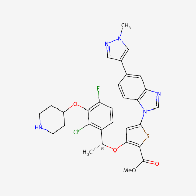 COC(=O)c1sc(-n2cnc3cc(-c4cnn(C)c4)ccc32)cc1O[C@H](C)c1ccc(F)c(OC2CCNCC2)c1Cl